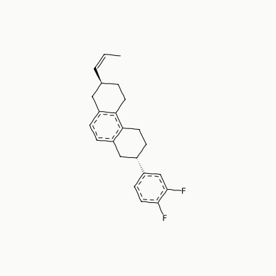 C/C=C\[C@H]1CCc2c(ccc3c2CC[C@H](c2ccc(F)c(F)c2)C3)C1